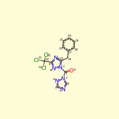 O=C(n1cncn1)n1nc(C(Cl)(Cl)Cl)nc1Cc1ccccc1